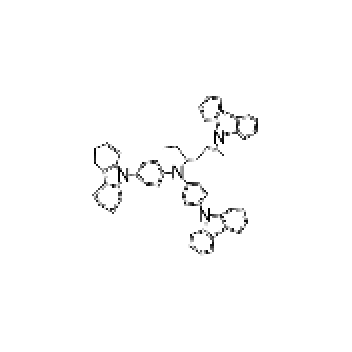 CC/C(=C\C=C(/C)n1c2ccccc2c2ccccc21)N(c1ccc(-n2c3c(c4ccccc42)CCC=C3)cc1)c1ccc(-n2c3ccccc3c3ccccc32)cc1